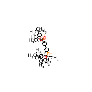 CCCC(C)(Oc1ccc(C(C)(C)C)cc1C(C)(C)C)Pc1ccc(-c2ccc([PH](=O)Oc3ccc(C(C)(C)C)cc3C(C)(C)C)cc2)cc1